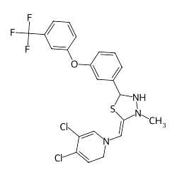 CN1NC(c2cccc(Oc3cccc(C(F)(F)F)c3)c2)SC1=CN1C=C(Cl)C(Cl)=CC1